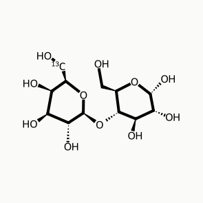 OC[C@H]1O[C@H](O)[C@H](O)[C@@H](O)[C@@H]1O[C@@H]1O[C@H]([13CH2]O)[C@H](O)[C@H](O)[C@H]1O